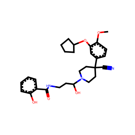 COc1ccc(C2(C#N)CCN(C(O)CCNC(=O)c3ccccc3O)CC2)cc1OC1CCCC1